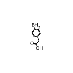 Bc1ccc(CC(=O)O)cc1